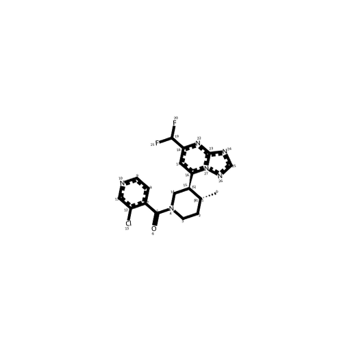 C[C@@H]1CCN(C(=O)c2ccncc2Cl)C[C@H]1c1cc(C(F)F)nc2ncnn12